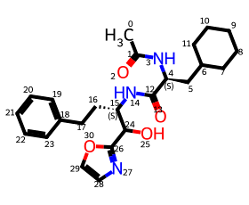 CC(=O)N[C@@H](CC1CCCCC1)C(=O)N[C@@H](CCc1ccccc1)C(O)c1ncco1